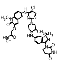 CNC(=O)COc1cc2cc(Nc3nc(N4CC[C@@H](Nc5ccc6c(N7CCC(=O)NC7=O)nn(C)c6c5)[C@H](C)C4)ncc3Cl)ccc2n(C)c1=O